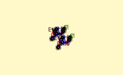 CC[C@@H](CN1CC[C@H](CNC(=O)c2ccc3cc(Cl)ccc3c2)N[C@H](CCN2CCCCC2)C1=O)c1ccccc1.CC[C@H](CN1CC[C@H](CNC(=O)c2ccc3cc(Cl)ccc3c2)N[C@H](CCN2CCCCC2)C1=O)c1ccccc1